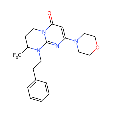 O=c1cc(N2CCOCC2)nc2n1CCC(C(F)(F)F)N2CCc1ccccc1